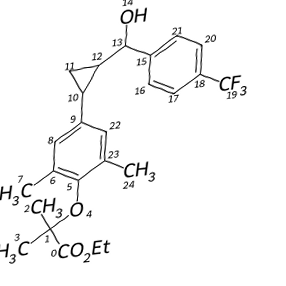 CCOC(=O)C(C)(C)Oc1c(C)cc(C2CC2C(O)c2ccc(C(F)(F)F)cc2)cc1C